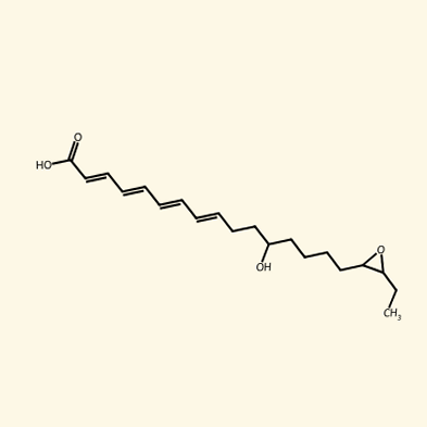 CCC1OC1CCCCC(O)CC/C=C/C=C/C=C/C=C/C(=O)O